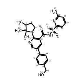 CC1CCN(c2ncc(-c3ccc(CO)cc3)cc2C(=O)NS(=O)(=O)c2cccc(N)n2)C1(C)C